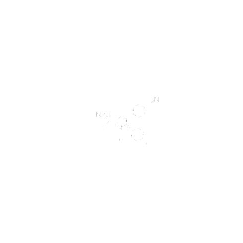 Cc1c(C(=O)NN2CCCCC2)nn(-c2ccc(Cl)cc2Cl)c1-c1ccc(C#N)cc1